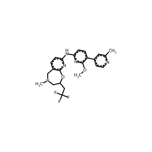 COc1nc(Nc2ccc3c(n2)OC(CC(F)(F)F)CN(C)C3)ccc1-c1ccnc(C)c1